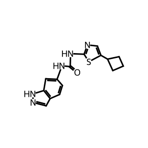 O=C(Nc1ccc2cn[nH]c2c1)Nc1ncc(C2CCC2)s1